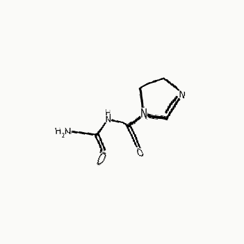 NC(=O)NC(=O)N1C=NCC1